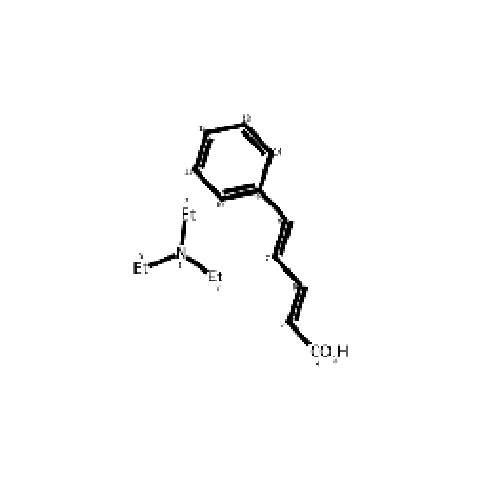 CCN(CC)CC.O=C(O)C=CC=Cc1ccccc1